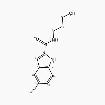 O=C(NCCCO)c1cc2cc(F)ccc2[nH]1